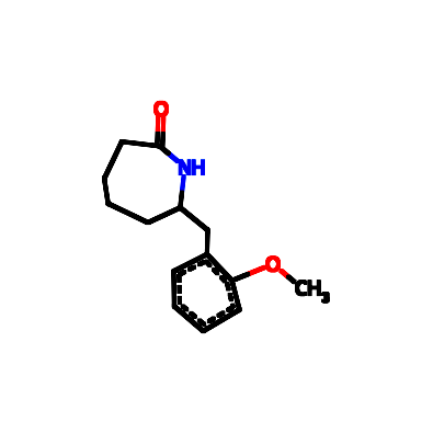 COc1ccccc1CC1CCCCC(=O)N1